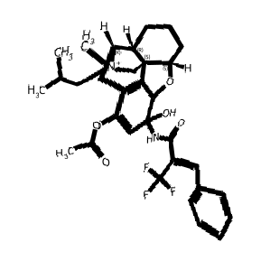 CC(=O)OC1=CC(O)(NC(=O)C(=Cc2ccccc2)C(F)(F)F)C2O[C@H]3CCC[C@H]4[C@H]5CC1=C2[C@@]34CC[N+]5(C)CC(C)C